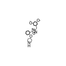 COc1cc(Cc2noc(-c3ccccc3OC3CCNCC3)n2)cc(OC)c1